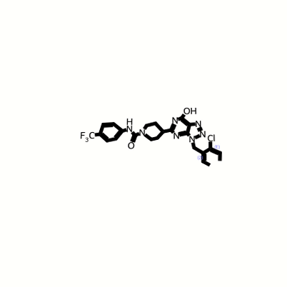 C/C=C(Cn1nnc2c(O)nc(C3CCN(C(=O)Nc4ccc(C(F)(F)F)cc4)CC3)nc21)\C(Cl)=C/C